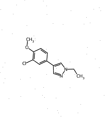 CCn1cc(-c2ccc(OC)c(Cl)c2)cn1